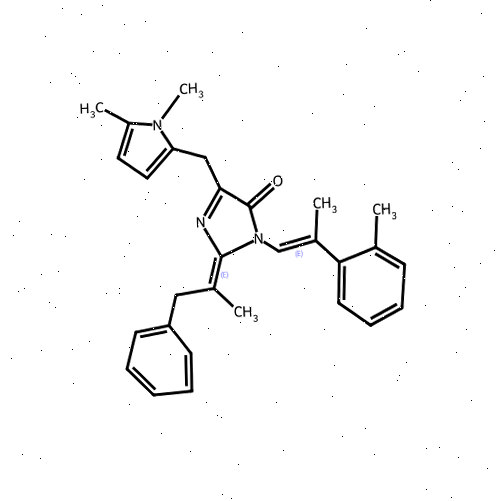 C/C(=C\N1C(=O)C(Cc2ccc(C)n2C)=N/C1=C(/C)Cc1ccccc1)c1ccccc1C